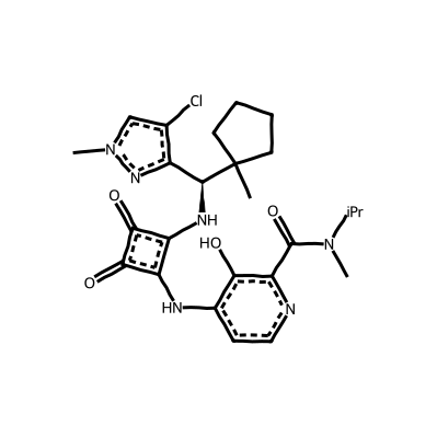 CC(C)N(C)C(=O)c1nccc(Nc2c(N[C@@H](c3nn(C)cc3Cl)C3(C)CCCC3)c(=O)c2=O)c1O